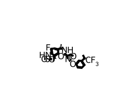 CC(c1cccc(OC2=NC(C(=O)N[C@H](C)c3cc(F)c(NS(C)(=O)=O)c(F)c3)CO2)c1)C(F)(F)F